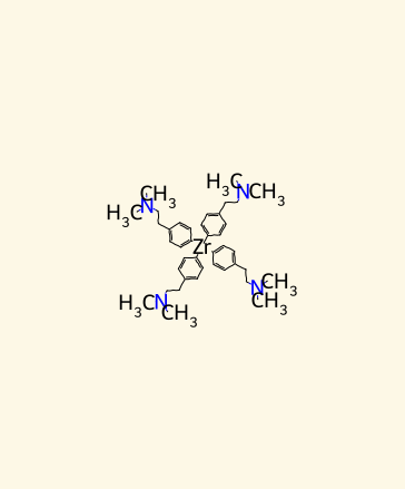 CN(C)CCc1cc[c]([Zr]([c]2ccc(CCN(C)C)cc2)([c]2ccc(CCN(C)C)cc2)[c]2ccc(CCN(C)C)cc2)cc1